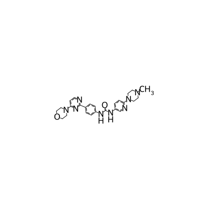 CN1CCN(c2ccc(NC(=O)Nc3ccc(-c4nccc(N5CCOCC5)n4)cc3)cn2)CC1